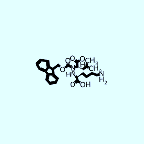 CC(C)C[C@@H](C(=O)O)N(N[C@@H](CCCCN)C(=O)O)C(=O)OCC1c2ccccc2-c2ccccc21